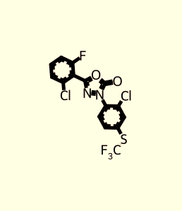 O=c1oc(-c2c(F)cccc2Cl)nn1-c1ccc(SC(F)(F)F)cc1Cl